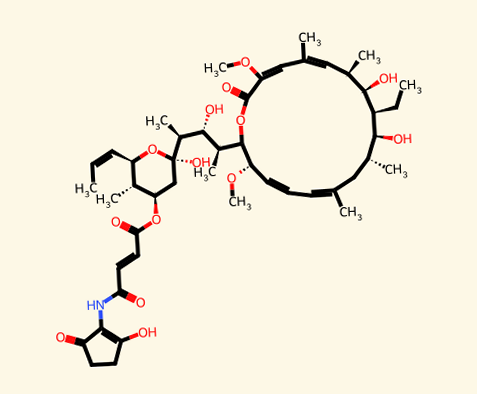 C/C=C\[C@H]1O[C@@](O)([C@@H](C)[C@H](O)[C@H](C)C2OC(=O)/C(OC)=C\C(C)=C/[C@@H](C)[C@@H](O)[C@@H](CC)[C@@H](O)[C@H](C)C/C(C)=C\C=C/[C@@H]2OC)C[C@@H](OC(=O)/C=C/C(=O)NC2=C(O)CCC2=O)[C@@H]1C